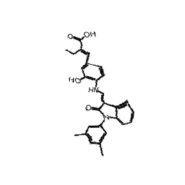 CC/C(=C\c1ccc(N/C=C2\C(=O)N(c3cc(C)cc(C)c3)c3ccccc32)c(O)c1)C(=O)O